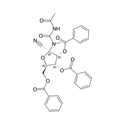 CC(=O)NC(=O)N(C)[C@]1(C#N)O[C@H](COC(=O)c2ccccc2)[C@@H](OC(=O)c2ccccc2)[C@H]1OC(=O)c1ccccc1